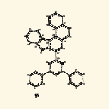 N#Cc1cccc(-c2cc(-c3ccccc3)nc(-c3cc4ccc5ccccc5c4c4c3sc3ccccc34)n2)c1